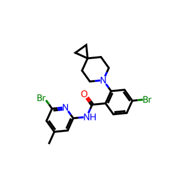 Cc1cc(Br)nc(NC(=O)c2ccc(Br)cc2N2CCC3(CC2)CC3)c1